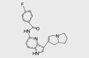 O=C(Nc1ccc2[nH]cc(C3=CCN4CCCC4C3)c2n1)c1ccc(F)cc1